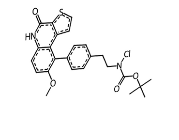 COc1ccc2[nH]c(=O)c3sccc3c2c1-c1ccc(CCN(Cl)C(=O)OC(C)(C)C)cc1